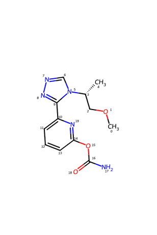 COC[C@@H](C)n1cnnc1-c1cccc(OC(N)=O)n1